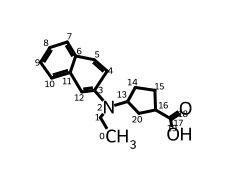 CCN(c1ccc2ccccc2c1)C1CCC(C(=O)O)C1